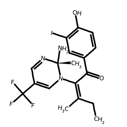 CC/C(C)=C(\C(=O)c1ccc(O)c(I)c1)N1C=C(C(F)(F)F)C=N[C@]1(C)N